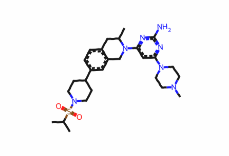 CC1Cc2ccc(C3CCN(S(=O)(=O)C(C)C)CC3)cc2CN1c1cc(N2CCN(C)CC2)nc(N)n1